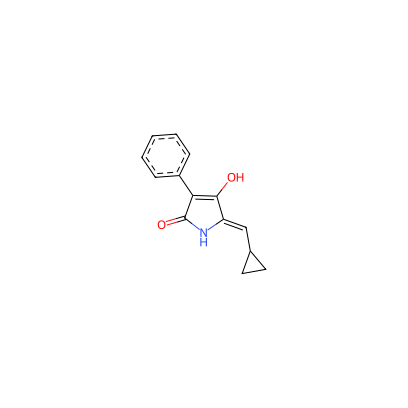 O=C1NC(=CC2CC2)C(O)=C1c1ccccc1